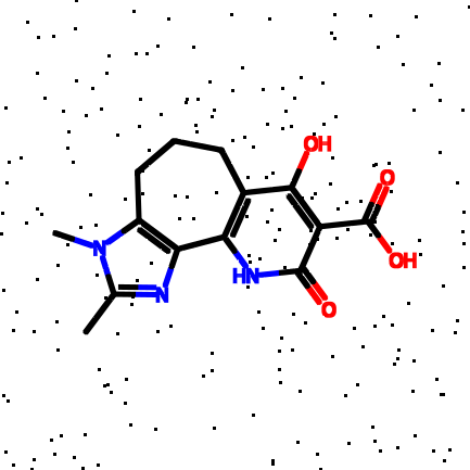 Cc1nc2c(n1C)CCCc1c-2[nH]c(=O)c(C(=O)O)c1O